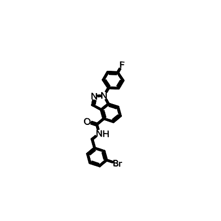 O=C(NCc1cccc(Br)c1)c1cccc2c1cnn2-c1ccc(F)cc1